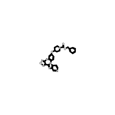 Nc1nonc1-c1nc2cnccc2n1-c1ccc(OC2CCN(C(=O)OCc3ccccc3)CC2)cc1